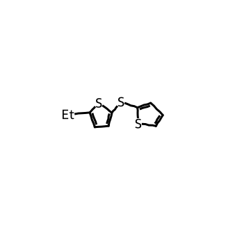 CCc1ccc(Sc2cccs2)s1